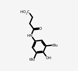 CC(C)(C)c1cc(NC(=O)CCC(=O)O)cc(C(C)(C)C)c1O